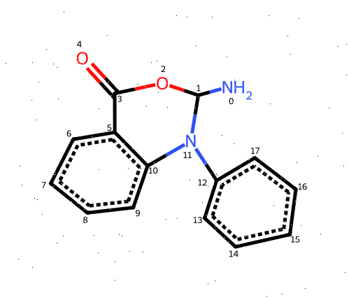 NC1OC(=O)c2ccccc2N1c1ccccc1